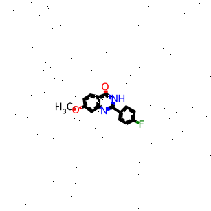 COc1ccc2c(=O)[nH]c(-c3ccc(F)cc3)nc2c1